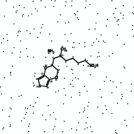 CN(CCCCS(=O)(=O)O)CC1COc2cscc2O1.N